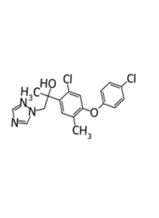 Cc1cc(C(C)(O)Cn2cncn2)c(Cl)cc1Oc1ccc(Cl)cc1